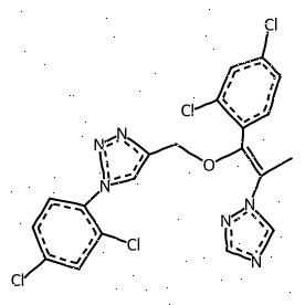 C/C(=C(/OCc1cn(-c2ccc(Cl)cc2Cl)nn1)c1ccc(Cl)cc1Cl)n1cncn1